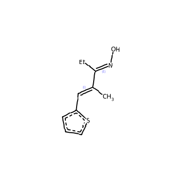 CCC(=N\O)/C(C)=C/c1cccs1